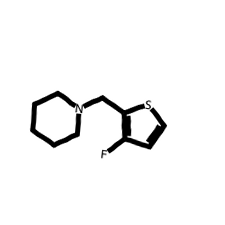 Fc1ccsc1CN1CCCCC1